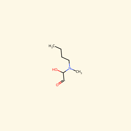 CCCCN(C)C(O)[C]=O